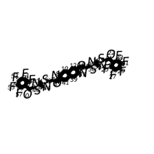 O=C(c1nc2sc(-c3nc4cc5cc6oc(-c7nc8sc(C(=O)c9c(F)c(F)c(F)c(F)c9F)nc8s7)nc6cc5cc4o3)nc2s1)c1c(F)c(F)c(F)c(F)c1F